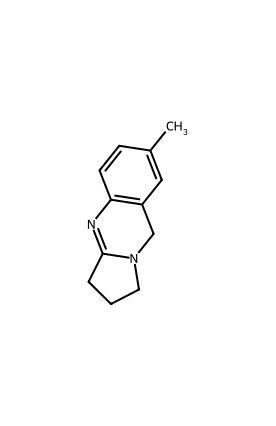 Cc1ccc2c(c1)CN1CCCC1=N2